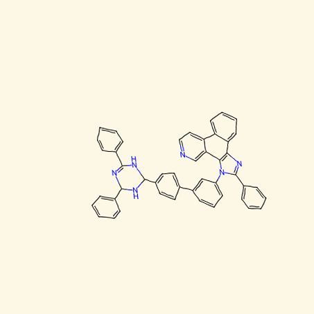 c1ccc(C2=NC(c3ccccc3)NC(c3ccc(-c4cccc(-n5c(-c6ccccc6)nc6c7ccccc7c7ccncc7c65)c4)cc3)N2)cc1